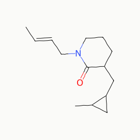 CC=CCN1CCCC(CC2CC2C)C1=O